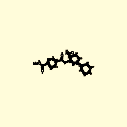 COC(=O)c1ccc(C(=O)Cc2cc(-c3cccnc3)ccc2OC)cc1